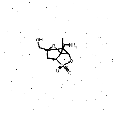 CC1C2OS(=O)(=O)C3CC1(CO)OC23CN